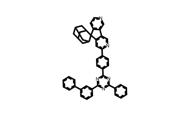 c1ccc(-c2cccc(-c3nc(-c4ccccc4)nc(-c4ccc(-c5cc6c(cn5)-c5cnccc5C65C6CC7CC(C6)CC5C7)cc4)n3)c2)cc1